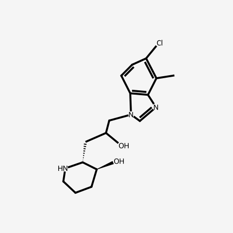 Cc1c(Cl)ccc2c1ncn2CC(O)C[C@H]1NCCC[C@@H]1O